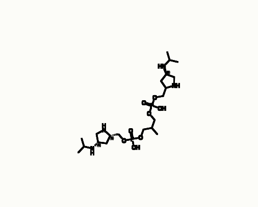 CC(COP(=O)(O)OCC1C[C@@H](NC(C)C)CN1)COP(=O)(O)OC[C@@H]1C[C@H](NC(C)C)CN1